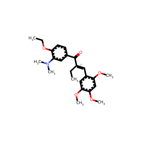 CCOc1ccc(C(=O)/C(=C/c2cc(OC)c(OC)cc2OC)CC)cc1N(C)C